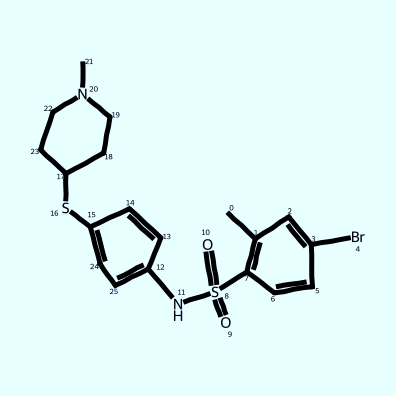 Cc1cc(Br)ccc1S(=O)(=O)Nc1ccc(SC2CCN(C)CC2)cc1